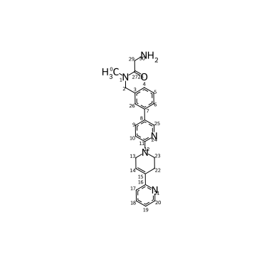 CN(Cc1cccc(-c2ccc(N3CC=C(c4ccccn4)CC3)nc2)c1)C(=O)CN